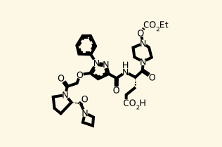 CCOC(=O)ON1CCN(C(=O)[C@H](CCC(=O)O)NC(=O)c2cc(OCC(=O)N3CCC[C@H]3C(=O)N3CCC3)n(-c3ccccc3)n2)CC1